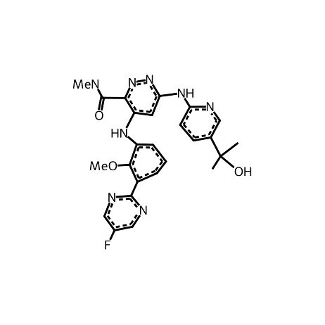 CNC(=O)c1nnc(Nc2ccc(C(C)(C)O)cn2)cc1Nc1cccc(-c2ncc(F)cn2)c1OC